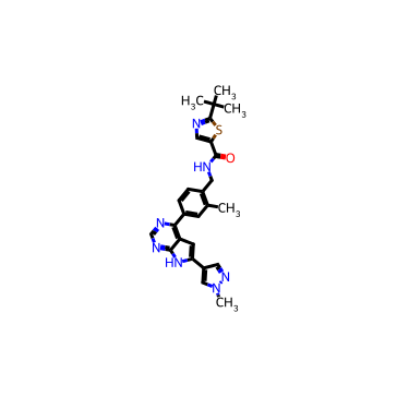 Cc1cc(-c2ncnc3[nH]c(-c4cnn(C)c4)cc23)ccc1CNC(=O)c1cnc(C(C)(C)C)s1